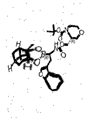 CC(C)(C)OC(=O)N1CCOC[C@@H]1COC(=O)N[C@@H](Cc1coc2ccccc12)B1O[C@@H]2C[C@@H]3C[C@@H](C3(C)C)[C@]2(C)O1